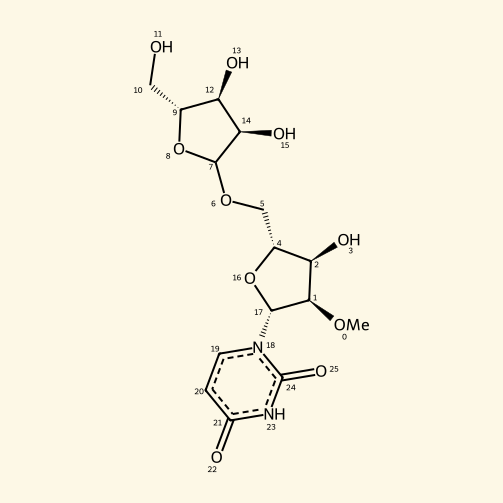 CO[C@@H]1[C@H](O)[C@@H](COC2O[C@H](CO)[C@@H](O)[C@H]2O)O[C@H]1n1ccc(=O)[nH]c1=O